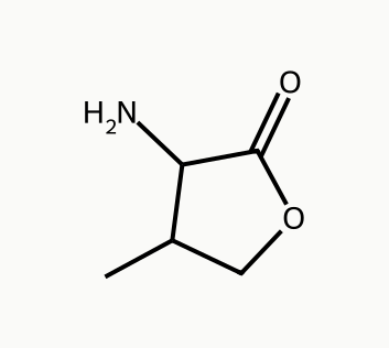 CC1COC(=O)C1N